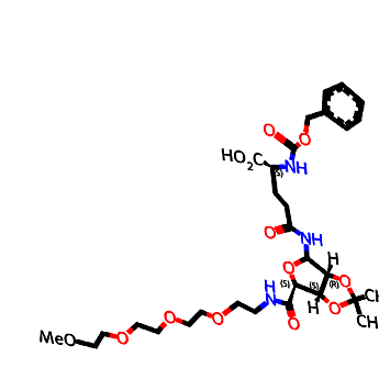 COCCOCCOCCOCCNC(=O)[C@H]1OC(NC(=O)CC[C@H](NC(=O)OCc2ccccc2)C(=O)O)[C@@H]2OC(C)(C)O[C@H]12